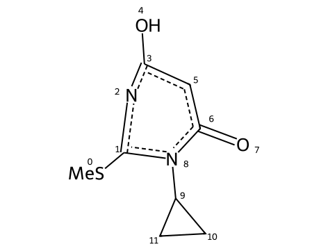 CSc1nc(O)cc(=O)n1C1CC1